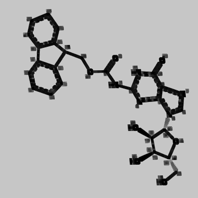 O=C(Nc1nc2c(ncn2[C@@H]2O[C@H](CO)[C@@H](O)[C@H]2O)c(=O)[nH]1)OCC1c2ccccc2-c2ccccc21